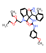 CCOC(CN1C(=O)C(NC(=O)Nc2cccc(OC)c2)(C(C(N)=O)c2ccccc2C)c2ccccc21)OCC